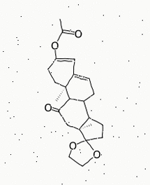 CC(=O)OC1=CC2=CCC3C(C(=O)C[C@@]4(C)C3CCC43OCCO3)[C@@]2(C)CC1